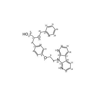 O=C(O)C(Cc1ccc(OCCn2c3ncccc3c3cccnc32)cc1)OCc1ccccc1